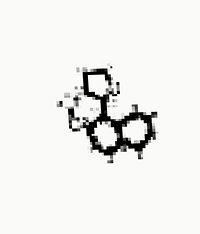 CCOc1ccc2ccccc2c1[C]1CCCO1